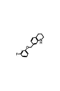 Fc1[c]c(OCc2ccc3c(c2)NCCC3)ccc1